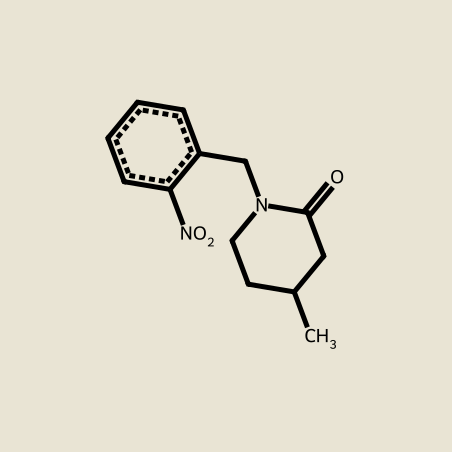 CC1CCN(Cc2ccccc2[N+](=O)[O-])C(=O)C1